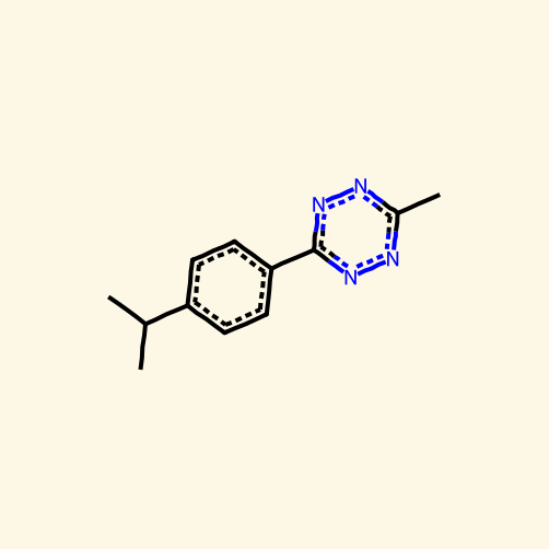 Cc1nnc(-c2ccc(C(C)C)cc2)nn1